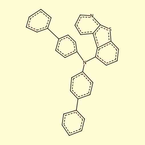 c1ccc(-c2ccc(N(c3ccc(-c4ccccc4)cc3)c3cccc4sc5ncccc5c34)cc2)cc1